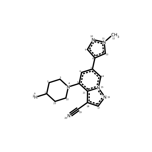 [2H]C1CCN(c2cc(-c3cnn(C)c3)cn3ncc(C#N)c23)CC1